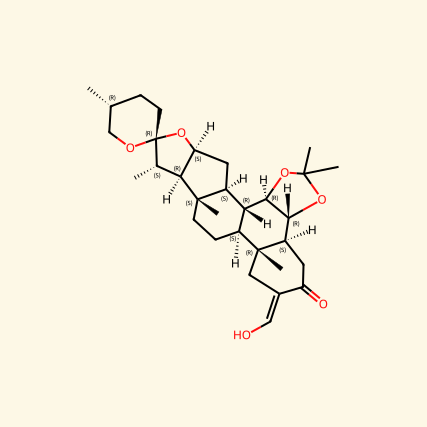 C[C@@H]1CC[C@@]2(OC1)O[C@H]1C[C@H]3[C@@H]4[C@H]5OC(C)(C)O[C@@H]5[C@H]5CC(=O)C(=CO)C[C@]5(C)[C@H]4CC[C@]3(C)[C@H]1[C@@H]2C